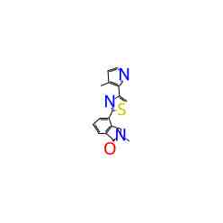 Cc1ccncc1-c1csc(-c2cccc3c2CN(C)C3=O)n1